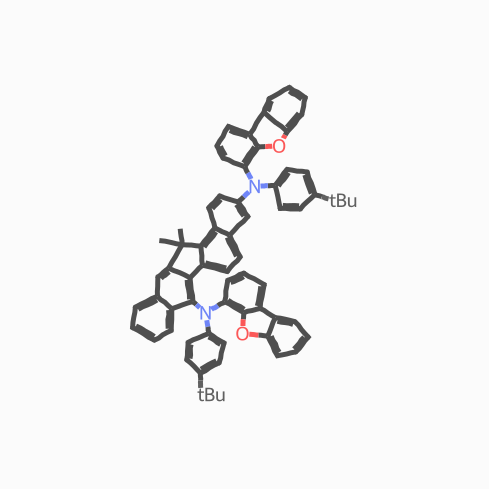 CC(C)(C)c1ccc(N(c2ccc3c4c(ccc3c2)-c2c(cc3ccccc3c2N(c2ccc(C(C)(C)C)cc2)c2cccc3c2oc2ccccc23)C4(C)C)c2cccc3c2oc2ccccc23)cc1